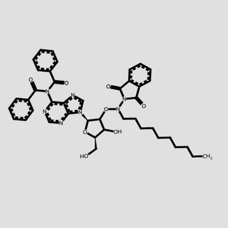 CCCCCCCCCCN(OC1C(O)[C@@H](CO)O[C@H]1n1cnc2c(N(C(=O)c3ccccc3)C(=O)c3ccccc3)ncnc21)N1C(=O)c2ccccc2C1=O